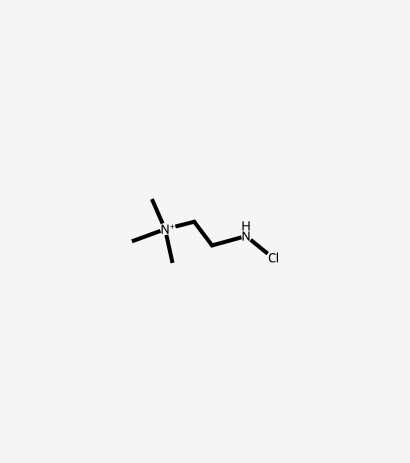 C[N+](C)(C)CCNCl